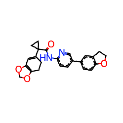 O=C(Nc1ccc(-c2ccc3c(c2)CCO3)cn1)C1(C2=CC3=C(CC2)OCO3)CC1